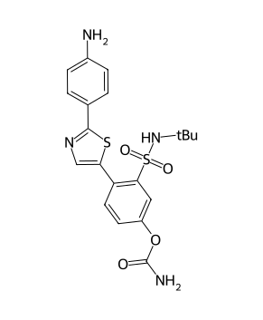 CC(C)(C)NS(=O)(=O)c1cc(OC(N)=O)ccc1-c1cnc(-c2ccc(N)cc2)s1